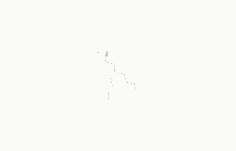 CNCCN(CCNC)CCC(C)C